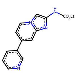 CCOC(=O)Nc1cn2ccc(-c3cccnc3)cc2n1